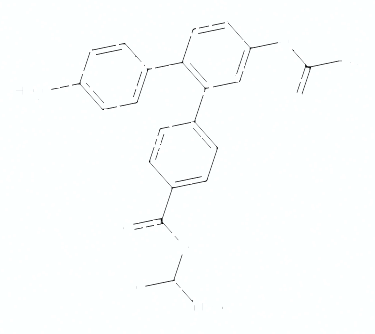 CCCCCCC(OC(=O)c1ccc(-c2cc(OC(=O)C(C)CC)ccc2-c2ccc(C(=O)O)cc2)cc1)C(F)(F)F